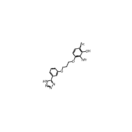 CCCc1c(OCCCOc2cccc(-c3nnn[nH]3)c2)ccc(C(C)=O)c1O